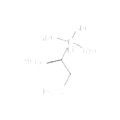 CCCC[PH](CCCC)(CCCC)C(CC(=O)O)C(=O)O